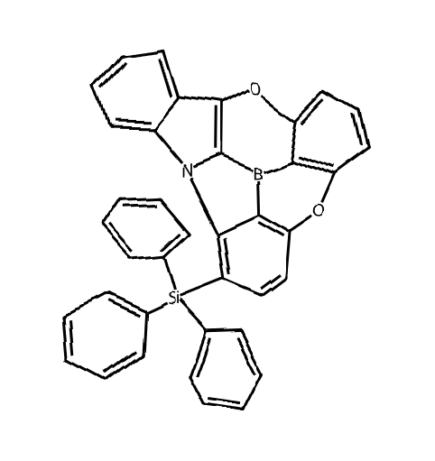 c1ccc([Si](c2ccccc2)(c2ccccc2)c2ccc3c4c2-n2c5c(c6ccccc62)Oc2cccc(c2B45)O3)cc1